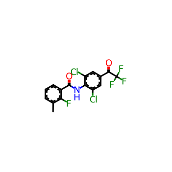 Cc1cccc(C(=O)Nc2c(Cl)cc(C(=O)C(F)(F)F)cc2Cl)c1F